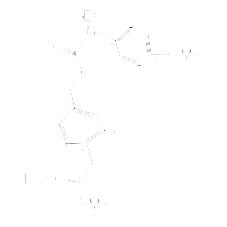 CCN(C(=O)COc1ccc(C[C@H](OC)C(=O)O)cc1)c1ccc(OC)cc1